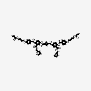 C=CC(=O)OCCCCOc1ccc(C(=O)Oc2ccc(OC(=O)C3CC(C(=O)Oc4ccc(OC(=O)c5ccc(OCCCCOC(=O)C=C)cc5)c(C(=O)OCC5CCCO5)c4)C3)cc2C(=O)OCC2CCCO2)cc1